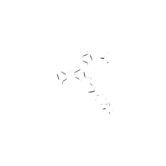 COc1cccc(Sc2cnc(Nc3nc(C4CCNCC4)cs3)c(Oc3ccc(F)cc3C)c2)c1.O=C(O)C(F)(F)F.O=C(O)C(F)(F)F